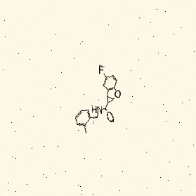 Cc1ccccc1CNC(=O)C1C2Oc3ccc(F)cc3C21